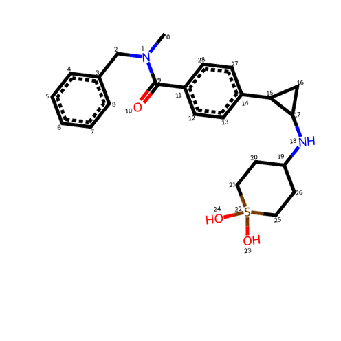 CN(Cc1ccccc1)C(=O)c1ccc(C2CC2NC2CCS(O)(O)CC2)cc1